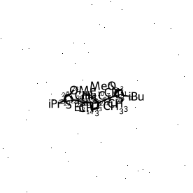 CCC(C)c1cc(OC)c(C(C)(C)C(C)(C)c2ccc(C(C)(C)C(C)(CC)c3sc(C(C)C)cc3OC)s2)s1